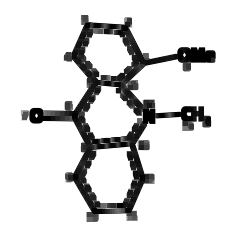 COc1cccc2c(=O)c3ccccc3n(C)c12